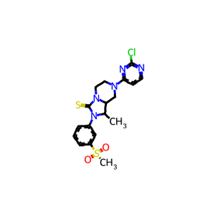 CC1C2CN(c3ccnc(Cl)n3)CCN2C(=S)N1c1cccc(S(C)(=O)=O)c1